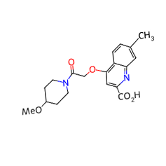 COC1CCN(C(=O)COc2cc(C(=O)O)nc3cc(C)ccc23)CC1